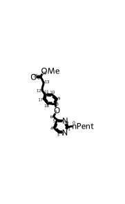 CCCCCc1nccc(COc2ccc(CCC(=O)OC)cc2)n1